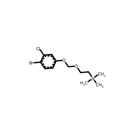 C[Si](C)(C)CCOCOc1ccc(Br)c(Cl)c1